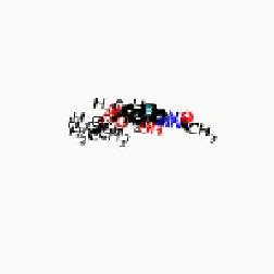 CCC(=O)N/N=C1\C=C[C@@]2(C)C(=C1)CC[C@H]1[C@@H]3C[C@@H](C)[C@@]4(C(=O)CO[Si](C)(C)C(C)(C)C)OC[C@]34C[C@H](O)[C@@]12F